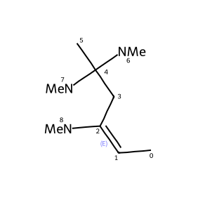 C/C=C(\CC(C)(NC)NC)NC